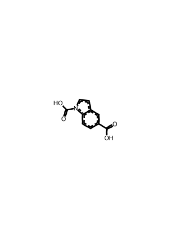 O=C(O)c1ccc2c(ccn2C(=O)O)c1